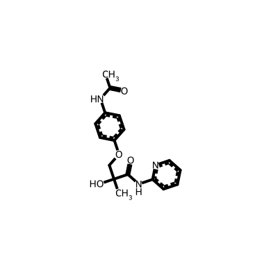 CC(=O)Nc1ccc(OCC(C)(O)C(=O)Nc2ccccn2)cc1